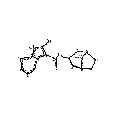 [2H]c1[nH]c2ccccc2c1C(=O)OC1CC2CCC(C1)N2C